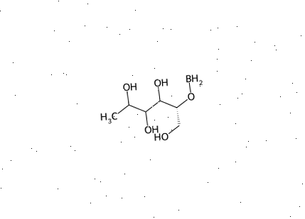 BO[C@H](CO)C(O)C(O)C(C)O